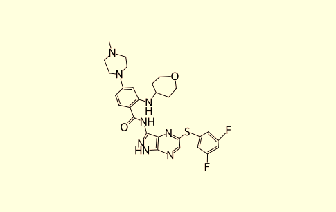 CN1CCN(c2ccc(C(=O)Nc3n[nH]c4ncc(Sc5cc(F)cc(F)c5)nc34)c(NC3CCOCC3)c2)CC1